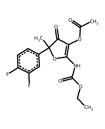 CCOC(=O)NC1=C(OC(C)=O)C(=O)C(C)(c2ccc(F)c(F)c2)O1